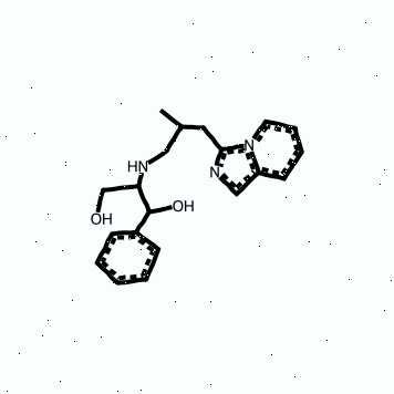 C[C](CNC(CO)C(O)c1ccccc1)Cc1ncc2ccccn12